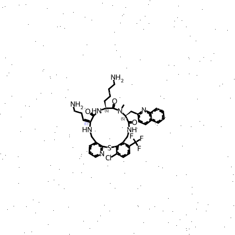 CN1C(=O)[C@H](CCCCN)NC(=O)/C(=C\CCN)NCc2cccnc2Sc2c(Cl)ccc(C(F)(F)F)c2CNC(=O)[C@@H]1Cc1ccc2ccccc2n1